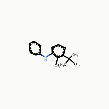 Cc1c(Nc2ccccc2)cccc1C(C)(C)C